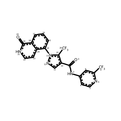 O=C(Nc1ccnc(C(F)(F)F)c1)c1cnn(-c2cccc3c(=O)[nH]ccc23)c1C(F)(F)F